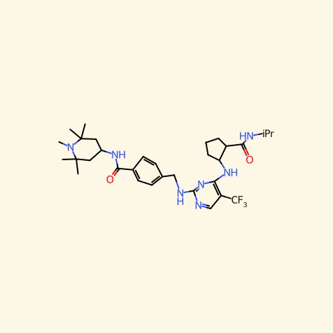 CC(C)NC(=O)C1CCCC1Nc1nc(NCc2ccc(C(=O)NC3CC(C)(C)N(C)C(C)(C)C3)cc2)ncc1C(F)(F)F